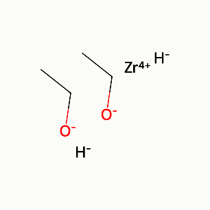 CC[O-].CC[O-].[H-].[H-].[Zr+4]